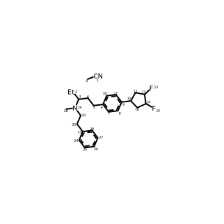 CC#N.CCC(CCc1ccc(C2CC(F)C(F)C2)cc1)N(C)CCc1ccccc1